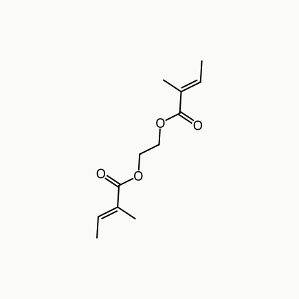 C/C=C(\C)C(=O)OCCOC(=O)/C(C)=C/C